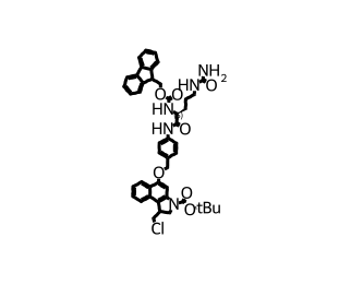 CC(C)(C)OC(=O)N1CC(CCl)c2c1cc(OCc1ccc(NC(=O)[C@H](CCCNC(N)=O)NC(=O)OCC3c4ccccc4-c4ccccc43)cc1)c1ccccc21